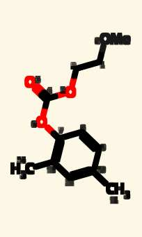 COCCOC(=O)Oc1ccc(C)cc1C